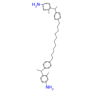 Cc1cc(N)ccc1C(C)c1ccc(CCCCCCCCCCCc2ccc(C(C)c3ccc(N)cc3C)cc2)cc1